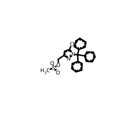 CS(=O)(=O)OCc1cc(Cl)n(C(c2ccccc2)(c2ccccc2)c2ccccc2)n1